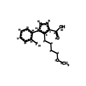 COCCCCc1c(C(=O)O)nnn1-c1ccccc1F